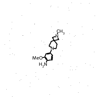 COc1cc(N2CCC3(CC2)CN(C)C3)ccc1N